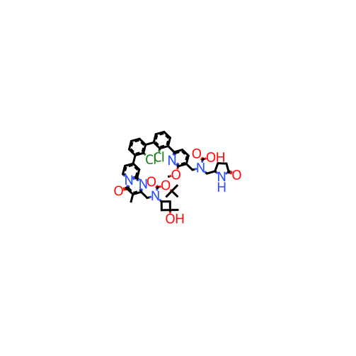 COc1nc(-c2cccc(-c3cccc(-c4ccn5c(=O)c(C)c(CN(C(=O)OC(C)(C)C)C6CC(C)(O)C6)nc5c4)c3Cl)c2Cl)ccc1CN(CC1CCC(=O)N1)C(=O)O